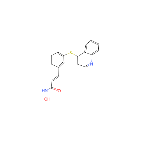 O=C(/C=C/c1cccc(Sc2ccnc3ccccc23)c1)NO